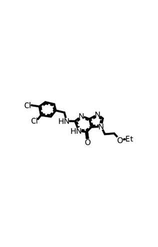 CCOCCn1cnc2nc(NCc3ccc(Cl)c(Cl)c3)[nH]c(=O)c21